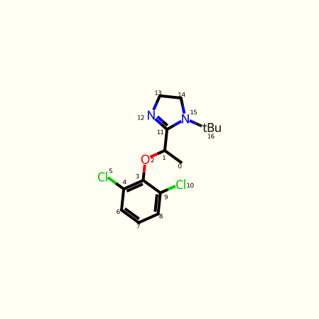 CC(Oc1c(Cl)cccc1Cl)C1=NCCN1C(C)(C)C